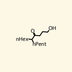 CCCCCCC(CCCCC)C(=O)CCCO